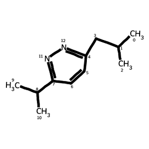 CC(C)Cc1ccc(C(C)C)nn1